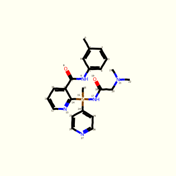 Cc1cccc(NC(=O)c2cccnc2S(C)(NC(=O)CN(C)C)c2ccncc2)c1